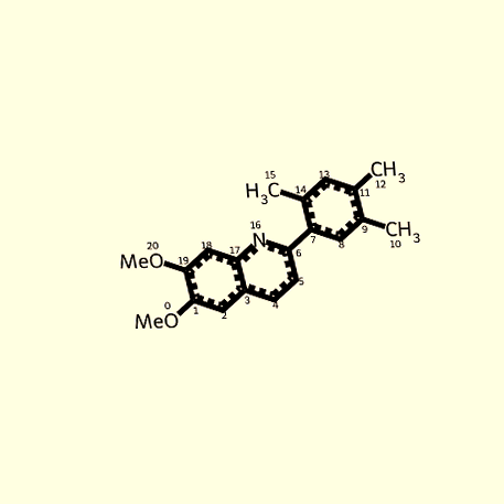 COc1cc2ccc(-c3cc(C)c(C)cc3C)nc2cc1OC